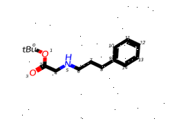 CC(C)(C)OC(=O)CNCCCc1ccccc1